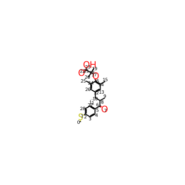 CSc1ccc(C(=O)C(C)[C@H](C)c2cc(C)c(OC(C)(C)C(=O)O)c(C)c2)cc1